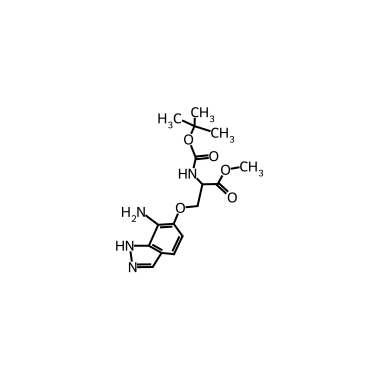 COC(=O)C(COc1ccc2cn[nH]c2c1N)NC(=O)OC(C)(C)C